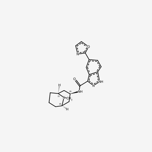 CN1[C@@H]2CCC[C@H]1C[C@@H](NC(=O)c1n[nH]c3ccc(-c4ncco4)cc13)C2